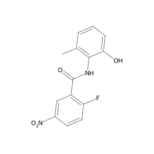 Cc1cccc(O)c1NC(=O)c1cc([N+](=O)[O-])ccc1F